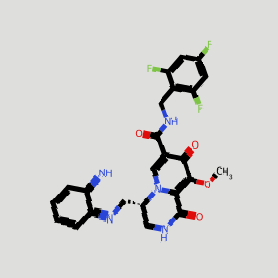 COc1c2n(cc(C(=O)NCc3c(F)cc(F)cc3F)c1=O)[C@@H](C/N=C1/C=CC=CC1=N)CNC2=O